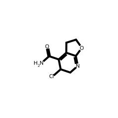 NC(=O)C1=C2CCOC2=NCC1Cl